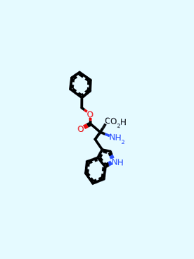 NC(Cc1c[nH]c2ccccc12)(C(=O)O)C(=O)OCc1ccccc1